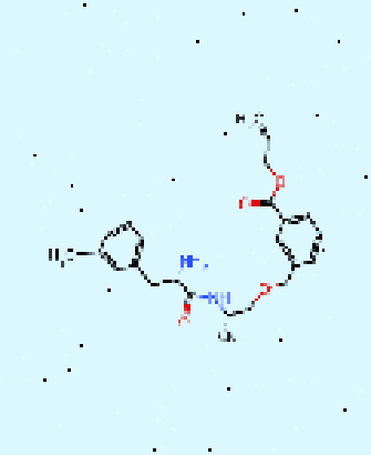 C=CCOC(=O)c1cccc(COC[C@H](C#N)NC(=O)[C@@H](N)Cc2cccc(C)c2)c1